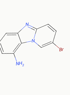 Nc1cccc2nc3ccc(Br)cn3c12